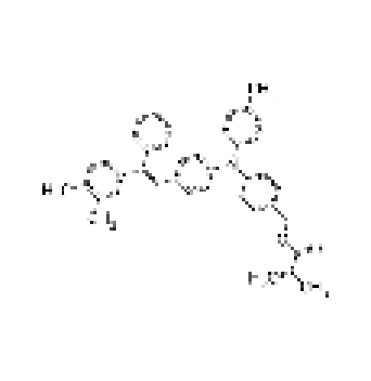 C=C(C)C(=O)OCc1ccc(N(c2ccc(C)cc2)c2ccc(/C=C(\c3ccccc3)c3ccc(C)c(C)c3)cc2)cc1